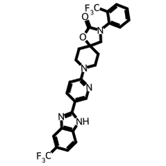 O=C1OC2(CCN(c3ccc(-c4nc5cc(C(F)(F)F)ccc5[nH]4)cn3)CC2)CN1c1ccccc1C(F)(F)F